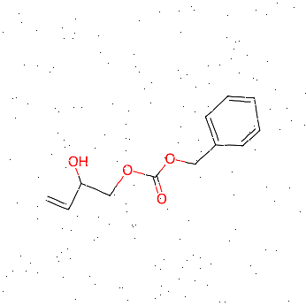 C=CC(O)COC(=O)OCc1ccccc1